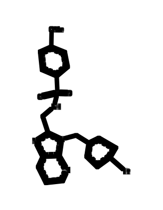 CCc1ccc(Cn2c(CNS(=O)(=O)c3ccc(OC)cc3)nc3cccnc32)cc1